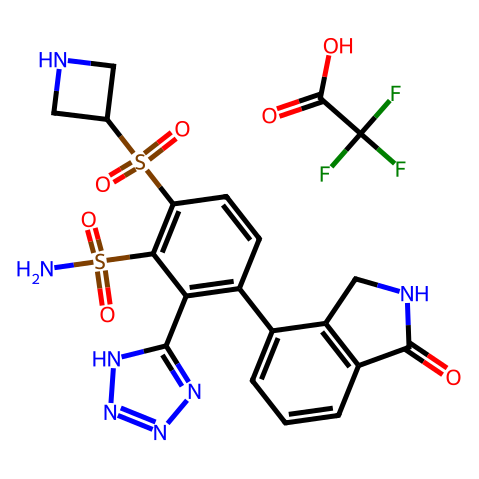 NS(=O)(=O)c1c(S(=O)(=O)C2CNC2)ccc(-c2cccc3c2CNC3=O)c1-c1nnn[nH]1.O=C(O)C(F)(F)F